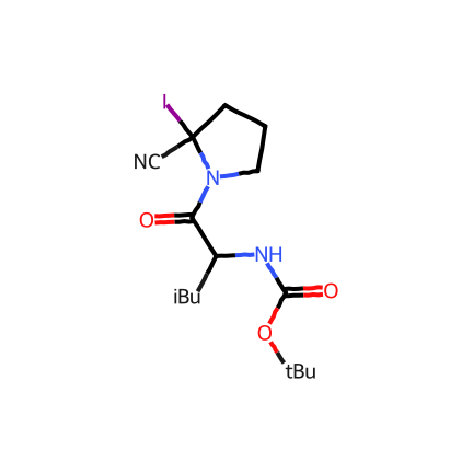 CCC(C)C(NC(=O)OC(C)(C)C)C(=O)N1CCCC1(I)C#N